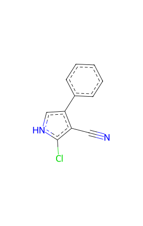 N#Cc1c(-c2ccccc2)c[nH]c1Cl